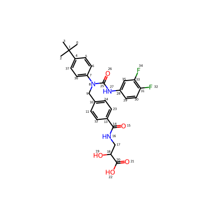 CC(C)(C)c1ccc(N(Cc2ccc(C(=O)NCC(O)C(=O)O)cc2)C(=O)Nc2ccc(F)c(F)c2)cc1